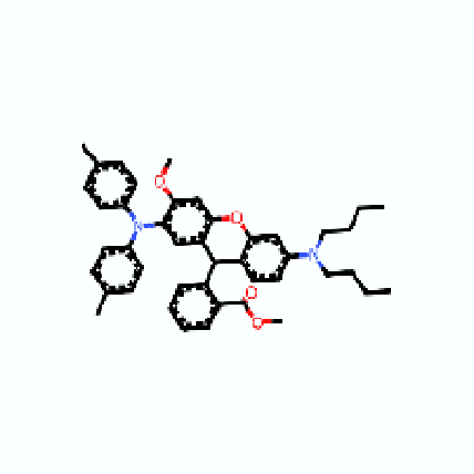 CCCCN(CCCC)c1ccc2c(c1)Oc1cc(OC)c(N(c3ccc(C)cc3)c3ccc(C)cc3)cc1C2c1ccccc1C(=O)OC